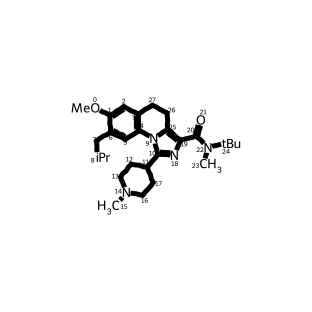 COc1cc2c(cc1CC(C)C)-n1c(C3CCN(C)CC3)nc(C(=O)N(C)C(C)(C)C)c1CC2